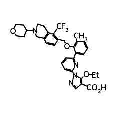 CCOc1c(C(=O)O)cnn1-c1cccc(-c2cccc(C)c2OCc2ccc3c(c2C(F)(F)F)CCN(C2CCOCC2)C3)n1